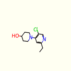 CCc1cc(N2CCC(O)CC2)c(Cl)cn1